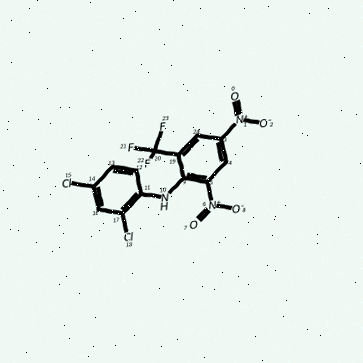 O=[N+]([O-])c1cc([N+](=O)[O-])c(Nc2ccc(Cl)cc2Cl)c(C(F)(F)F)c1